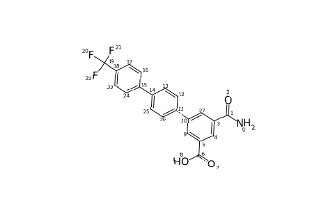 NC(=O)c1cc(C(=O)O)cc(-c2ccc(-c3ccc(C(F)(F)F)cc3)cc2)c1